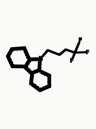 FC(F)(F)CCCn1c2ccccc2c2ccccc21